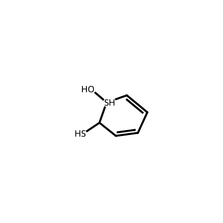 O[SH]1C=CC=CC1S